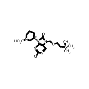 C[Si](C)(C)CCOCn1c(=O)n([C@@H]2CCCN(C(=O)O)C2)c2nc(Cl)ncc21